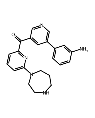 Nc1cccc(-c2cncc(C(=O)c3cccc(N4CCCNCC4)n3)c2)c1